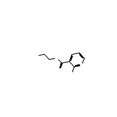 O=C(OCCO)c1cccnc1Cl